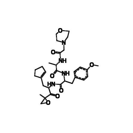 COc1ccc(CC(NC(=O)C(C)NC(=O)CN2CCOCC2)C(=O)NC(CC2=CCCC2)C(=O)C2(C)CO2)cc1